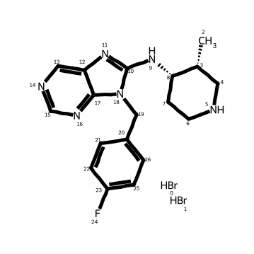 Br.Br.C[C@@H]1CNCC[C@@H]1Nc1nc2cncnc2n1Cc1ccc(F)cc1